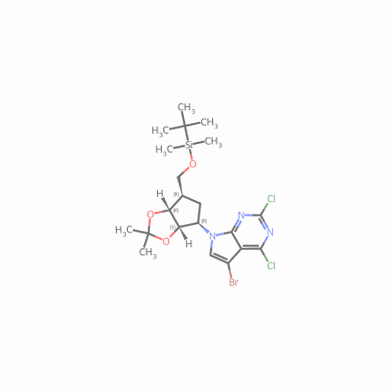 CC1(C)O[C@@H]2[C@@H](CO[Si](C)(C)C(C)(C)C)C[C@@H](n3cc(Br)c4c(Cl)nc(Cl)nc43)[C@@H]2O1